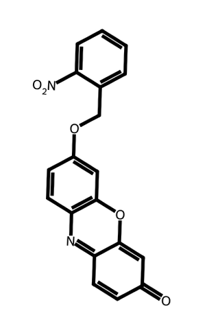 O=c1ccc2nc3ccc(OCc4ccccc4[N+](=O)[O-])cc3oc-2c1